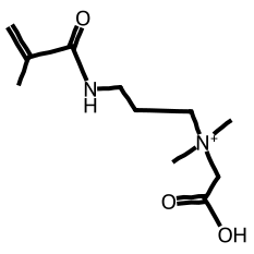 C=C(C)C(=O)NCCC[N+](C)(C)CC(=O)O